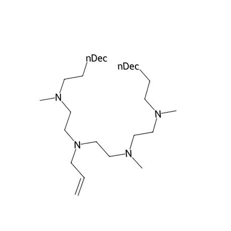 C=CCN(CCN(C)CCCCCCCCCCCC)CCN(C)CCN(C)CCCCCCCCCCCC